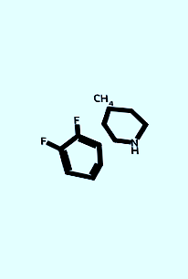 C.C1CCNCC1.Fc1ccccc1F